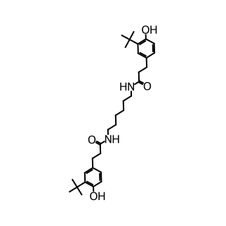 CC(C)(C)c1cc(CCC(=O)NCCCCCCNC(=O)CCc2ccc(O)c(C(C)(C)C)c2)ccc1O